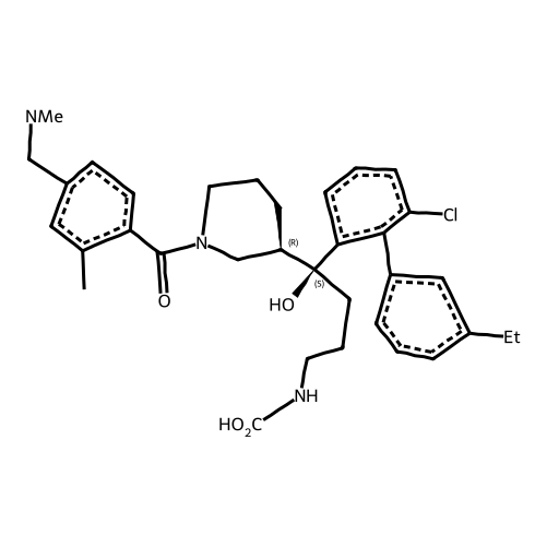 CCc1cccc(-c2c(Cl)cccc2[C@](O)(CCCNC(=O)O)[C@@H]2CCCN(C(=O)c3ccc(CNC)cc3C)C2)c1